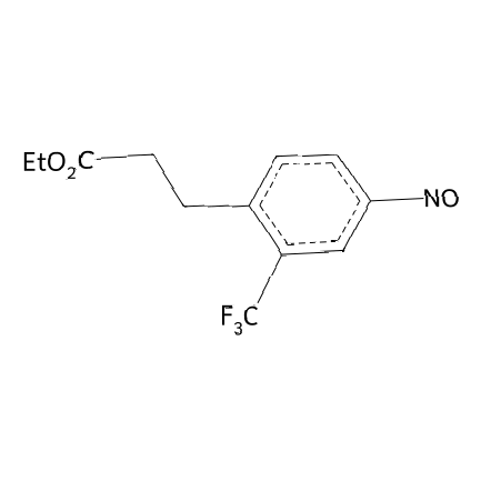 CCOC(=O)CCc1ccc(N=O)cc1C(F)(F)F